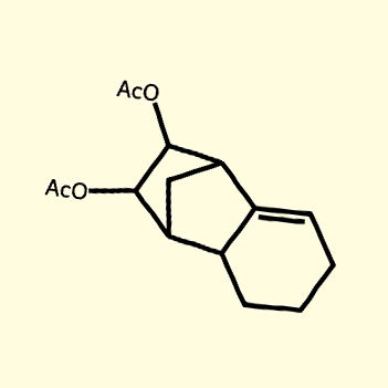 CC(=O)OC1C2CC(C3CCCC=C32)C1OC(C)=O